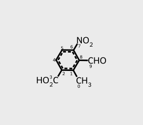 Cc1c(C(=O)O)ccc([N+](=O)[O-])c1C=O